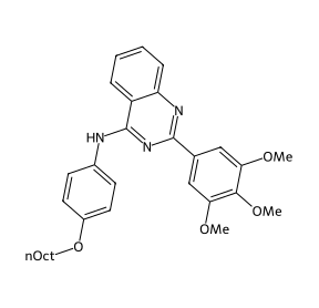 CCCCCCCCOc1ccc(Nc2nc(-c3cc(OC)c(OC)c(OC)c3)nc3ccccc23)cc1